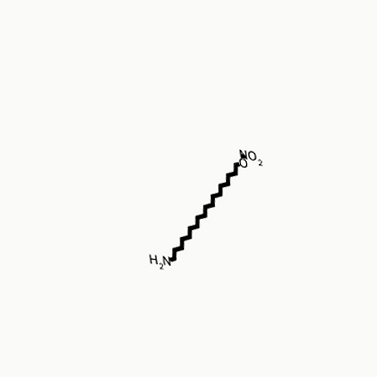 NCCCCCCCCCCCCCCCCCCO[N+](=O)[O-]